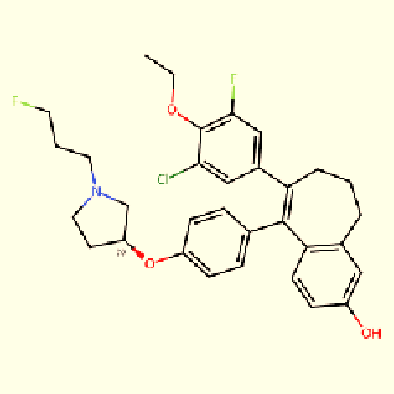 CCOc1c(F)cc(C2=C(c3ccc(O[C@H]4CCN(CCCF)C4)cc3)c3ccc(O)cc3CCC2)cc1Cl